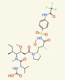 CC[C@H](C)[C@@H]([C@H](CC(=O)N1CCC[C@H]1[C@H](OC)[C@@H](C)C(=O)NS(=O)(=O)c1ccc(NC(=O)C(F)(F)F)cc1)OC)N(C)C(=O)[C@@H](NC(=O)O)C(C)C